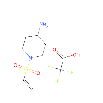 C=CS(=O)(=O)N1CCC(N)CC1.O=C(O)C(F)(F)F